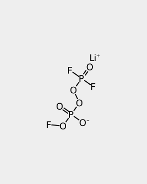 O=P(F)(F)OOP(=O)([O-])OF.[Li+]